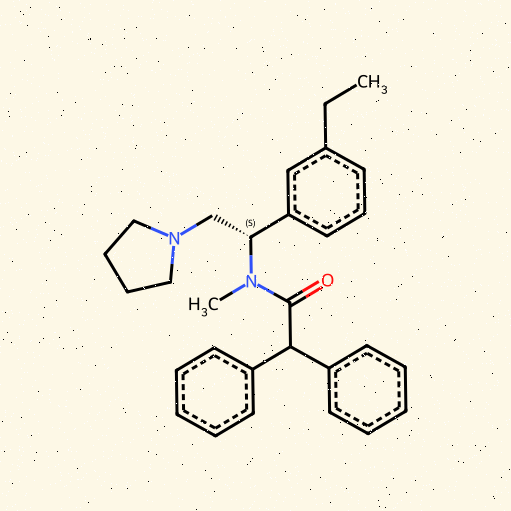 CCc1cccc([C@@H](CN2CCCC2)N(C)C(=O)C(c2ccccc2)c2ccccc2)c1